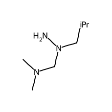 CC(C)CN(N)CN(C)C